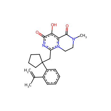 C=C(C)c1ccccc1C1(Cc2nc(=O)c(O)c3n2CCN(C)C3=O)CCCC1